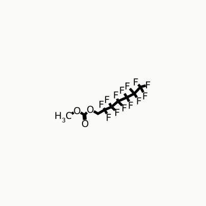 COC(=O)OCC(F)(F)C(F)(F)C(F)(F)C(F)(F)C(F)(F)C(F)(F)F